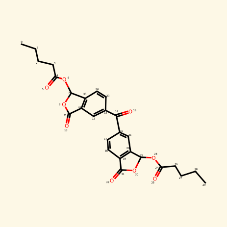 CCCCC(=O)OC1OC(=O)c2cc(C(=O)c3ccc4c(c3)C(OC(=O)CCCC)OC4=O)ccc21